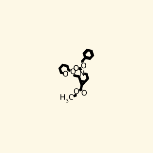 CCOC(=O)C1C2CCN(C(=O)OCc3ccccc3)C(COC3CCCCO3)C21